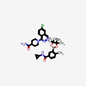 Cc1ccc(C(=O)NC2CC2)cc1B1OC(C)(C)C(C)(C)O1.NC(=O)C1CCN(c2nncc3cc(Br)ccc23)CC1